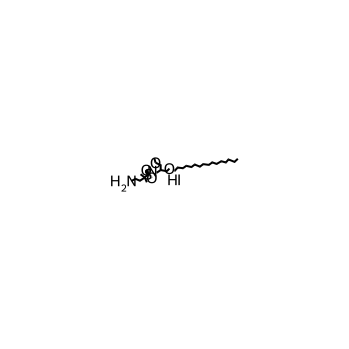 CCCCCCCCCCCCCCCCOCC(COC)CN(C)S(=O)(=O)C(C)(C)CCN.I